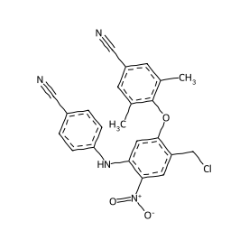 Cc1cc(C#N)cc(C)c1Oc1cc(Nc2ccc(C#N)cc2)c([N+](=O)[O-])cc1CCl